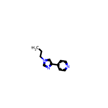 [CH2]CCn1cnc(-c2ccncc2)c1